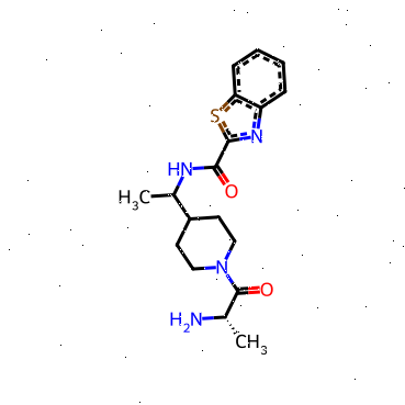 CC(NC(=O)c1nc2ccccc2s1)C1CCN(C(=O)[C@H](C)N)CC1